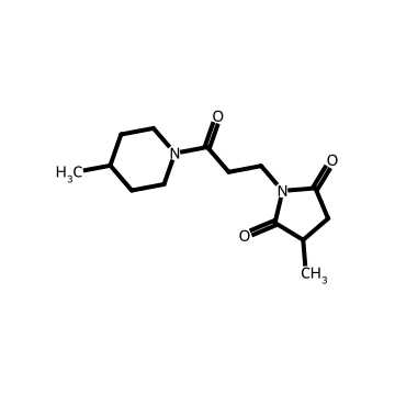 CC1CCN(C(=O)CCN2C(=O)CC(C)C2=O)CC1